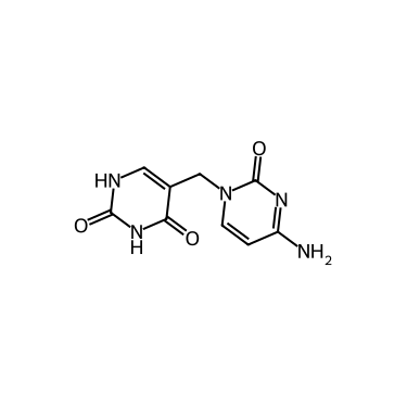 Nc1ccn(Cc2c[nH]c(=O)[nH]c2=O)c(=O)n1